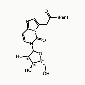 CCCCCC(=O)Cc1cnc2ccn(C3O[C@H](CO)[C@@H](O)[C@H]3O)c(=O)n12